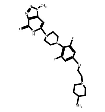 Cn1nnc2c(=O)[nH]c(N3CCN(c4c(F)cc(OCCN5CCC(N)CC5)cc4F)CC3)cc21